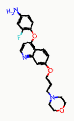 Nc1ccc(Oc2ccnc3cc(OCCCN4CCOCC4)ccc23)c(F)c1